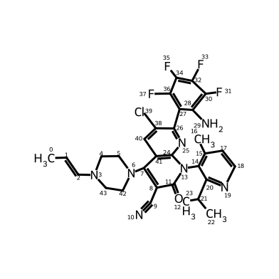 CC=CN1CCN(c2c(C#N)c(=O)n(-c3c(C)ccnc3C(C)C)c3nc(-c4c(N)c(F)c(F)c(F)c4F)c(Cl)cc23)CC1